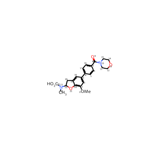 COc1cc(-c2ccc(C(=O)N3CCOCC3)cc2)cc2c1OC(N(C)C(=O)O)C2